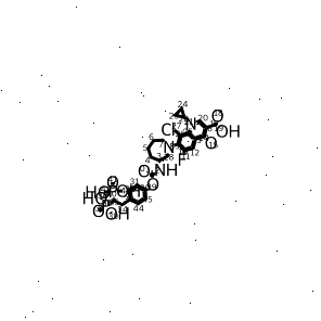 O=C(N[C@@H]1CCCCN(c2c(F)cc3c(=O)c(C(=O)O)cn(C4CC4)c3c2Cl)C1)Oc1ccc(CC(P(=O)(O)O)P(=O)(O)O)cc1